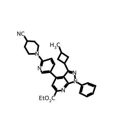 CCOC(=O)c1cc(-c2ccc(N3CCC(C#N)CC3)nc2)c2c(C3CC(C)C3)nn(-c3ccccc3)c2n1